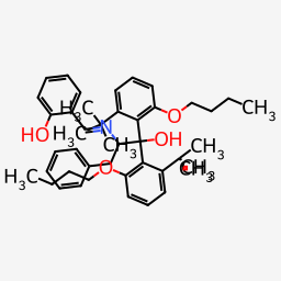 CCCCOc1cccc(C(C)(C)C)c1C(O)(c1c(OCCCC)cccc1C(C)(C)C)C(Cc1ccccc1)N=Cc1ccccc1O